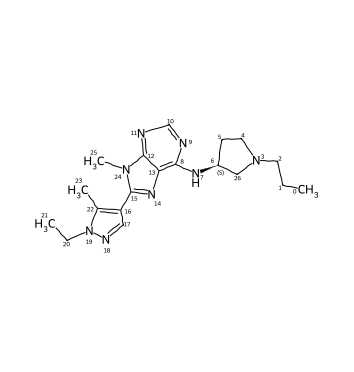 CCCN1CC[C@H](Nc2ncnc3c2nc(-c2cnn(CC)c2C)n3C)C1